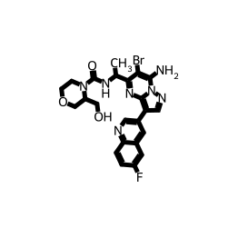 CC(NC(=O)N1CCOCC1CO)c1nc2c(-c3cnc4ccc(F)cc4c3)cnn2c(N)c1Br